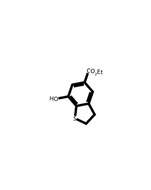 CCOC(=O)c1cc(O)c2c(c1)CCS2